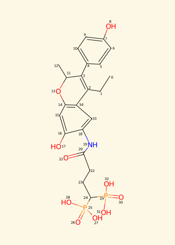 CCC1=C(c2ccc(O)cc2)C(C)Oc2cc(O)c(NC(=O)CCC(P(=O)(O)O)P(=O)(O)O)cc21